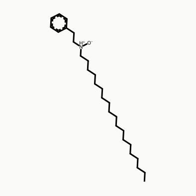 CCCCCCCCCCCCCCCCCCC[NH+]([O-])CCc1ccccc1